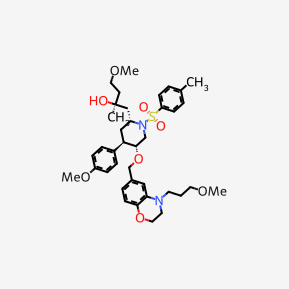 COCCCN1CCOc2ccc(CO[C@H]3CN(S(=O)(=O)c4ccc(C)cc4)[C@@H](C[C@@](C)(O)CCOC)C[C@@H]3c3ccc(OC)cc3)cc21